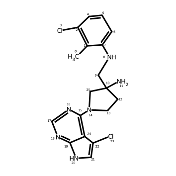 Cc1c(Cl)cccc1NCC1(N)CCN(c2ncnc3[nH]cc(Cl)c23)C1